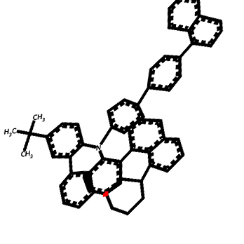 CC(C)(C)c1ccc(N(c2ccc(-c3ccc(-c4cccc5ccccc45)cc3)cc2)c2ccccc2-c2cccc3cccc(C4CCCCC4)c23)c(-c2ccccc2)c1